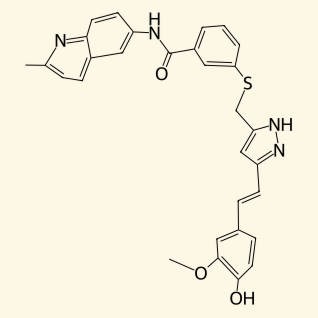 COc1cc(C=Cc2cc(CSc3cccc(C(=O)Nc4ccc5nc(C)ccc5c4)c3)[nH]n2)ccc1O